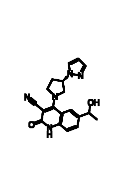 CC(O)c1ccc2[nH]c(=O)c(C#N)c(N3CC[C@@H](n4cccn4)C3)c2c1